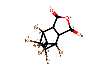 O=C1OC(=O)C2C1C1(Br)C(Br)=C(Br)C2(Br)C1(Br)Br